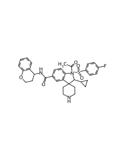 CC(=O)[N+]1(S(=O)(=O)c2ccc(F)cc2)c2ccc(C(=O)NC3CCOc4ccccc43)cc2C2(CCNCC2)C1C1CC1